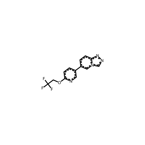 FC(F)(F)COc1ccc(-c2ccc3nncn3c2)cn1